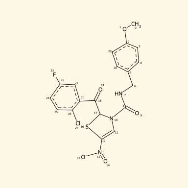 COc1ccc(CNC(=O)N2C=C([N+](=O)[O-])SC2C(=O)c2cc(F)ccc2Cl)cc1